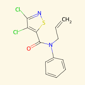 C=CCN(C(=O)c1snc(Cl)c1Cl)c1ccccc1